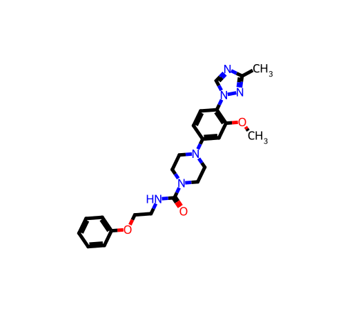 COc1cc(N2CCN(C(=O)NCCOc3ccccc3)CC2)ccc1-n1cnc(C)n1